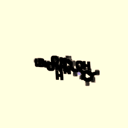 Cc1cccc(/C(O)=C/c2ccnc(NC(=O)OC(C)(C)C)n2)c1